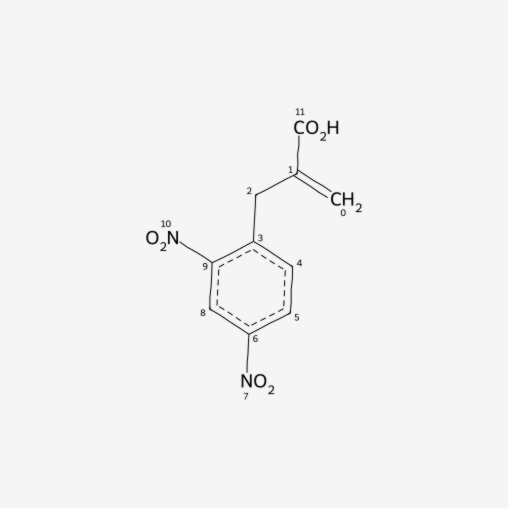 C=C(Cc1ccc([N+](=O)[O-])cc1[N+](=O)[O-])C(=O)O